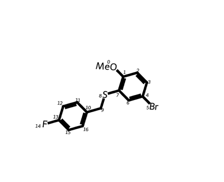 COc1ccc(Br)cc1SCc1ccc(F)cc1